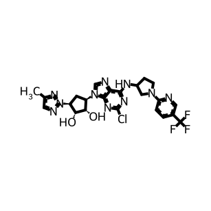 Cc1cnn([C@H]2C[C@@H](n3cnc4c(NC5CCN(c6ccc(C(F)(F)F)cn6)C5)nc(Cl)nc43)[C@H](O)[C@@H]2O)n1